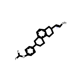 CCC/C=C/C1CCc2c(ccc3c2CCC(c2ccc(OC(F)F)cc2)C3)C1